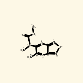 CC(C)(C)OC(=O)N(N)c1nc2nonc2nc1N